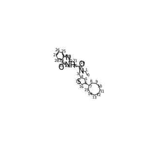 CCN(CC1CC(C2CCCCCCCC2)CS1)C(=O)CCc1nc2ccccc2c(=O)[nH]1